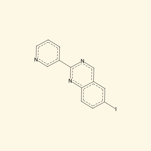 Ic1ccc2nc(-c3cccnc3)ncc2c1